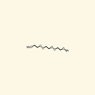 COCCOOCCOOCCOC(C)C